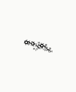 CC(C)C(COc1cnc(-c2cc3ccccc3o2)nc1)Nc1ccc(C(=O)NCCC(=O)O)cc1